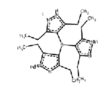 CCc1n[nH]c(CC)c1B(c1c(CC)n[nH]c1CC)c1c(CC)n[nH]c1CC.[I].[Pd]